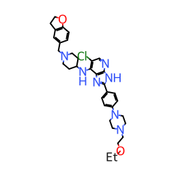 CCOCCN1CCN(c2ccc(-c3nc4c(NC5CCN(Cc6ccc7c(c6)CCO7)CC5)c(Cl)cnc4[nH]3)cc2)CC1